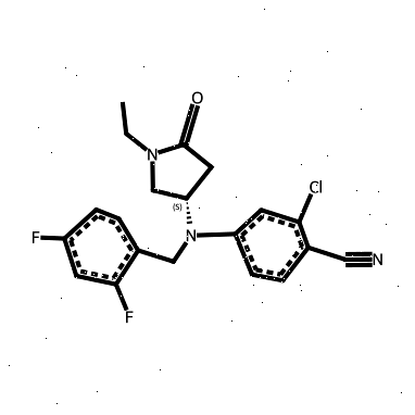 CCN1C[C@@H](N(Cc2ccc(F)cc2F)c2ccc(C#N)c(Cl)c2)CC1=O